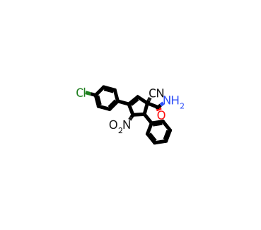 N#CC1(C(N)=O)C=C(c2ccc(Cl)cc2)C([N+](=O)[O-])C1c1ccccc1